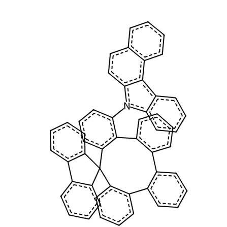 c1ccc2c(c1)-c1ccccc1-c1c(-n3c4ccccc4c4c5ccccc5ccc43)cccc1C1(c3ccccc3-2)c2ccccc2-c2ccccc21